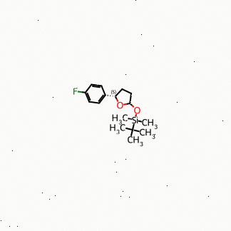 CC(C)(C)[Si](C)(C)OC1CC[C@@H](c2ccc(F)cc2)O1